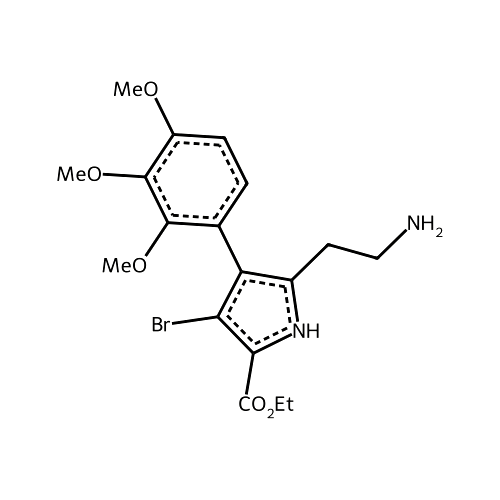 CCOC(=O)c1[nH]c(CCN)c(-c2ccc(OC)c(OC)c2OC)c1Br